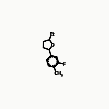 CCC1CCC(c2ccc(C)c(F)c2)O1